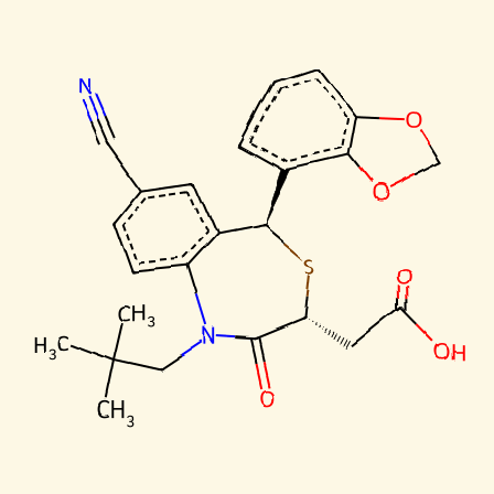 CC(C)(C)CN1C(=O)[C@@H](CC(=O)O)S[C@H](c2cccc3c2OCO3)c2cc(C#N)ccc21